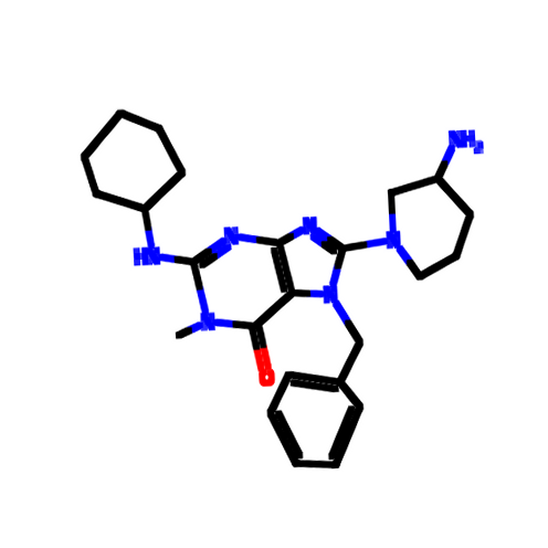 Cn1c(NC2CCCCC2)nc2nc(N3CCCC(N)C3)n(Cc3ccccc3)c2c1=O